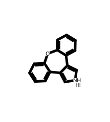 I.c1ccc2c(c1)Oc1ccccc1-c1c[nH]cc1-2